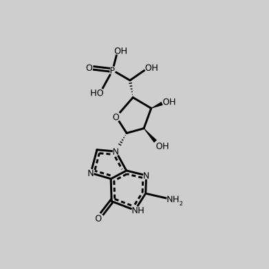 Nc1nc2c(ncn2[C@@H]2O[C@H](C(O)P(=O)(O)O)[C@@H](O)[C@H]2O)c(=O)[nH]1